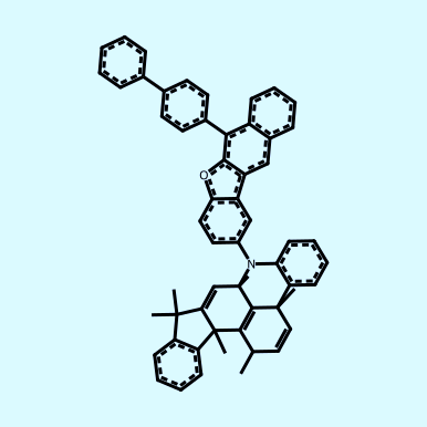 CC1C=CC2(C)C3=C1C1(C)C(=CC3(C)N(c3ccc4oc5c(-c6ccc(-c7ccccc7)cc6)c6ccccc6cc5c4c3)c3ccccc32)C(C)(C)c2ccccc21